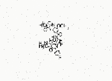 COc1cc(C(=O)NC[C@](O)(c2cc3c(c(-c4ccc(F)cc4)n2)OC[C@]3(C)C(N)=O)C(F)(F)F)cc2cc(C(=O)O)c(C)nc12